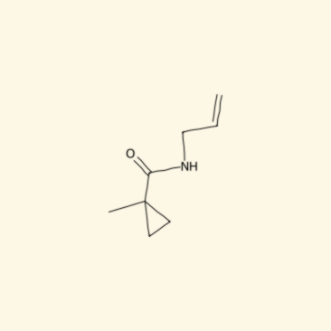 C=CCNC(=O)C1(C)CC1